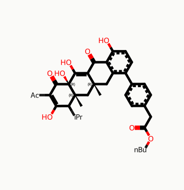 CCCCOC(=O)Cc1ccc(-c2ccc(O)c3c2C[C@]2(C)C[C@]4(C)C(C(C)C)C(O)=C(C(C)=O)C(=O)[C@]4(O)C(O)=C2C3=O)cc1